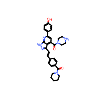 O=C(c1ccc(C=Cc2n[nH]c3nc(-c4ccc(O)cc4)cc(C(=O)N4CCNCC4)c23)cc1)N1CCCCC1